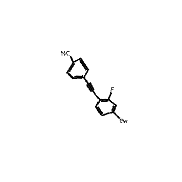 N#Cc1ccc(C#Cc2ccc(Br)cc2F)cc1